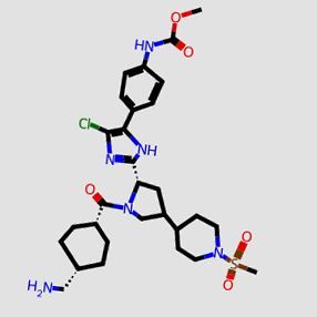 COC(=O)Nc1ccc(-c2[nH]c([C@@H]3CC(C4CCN(S(C)(=O)=O)CC4)CN3C(=O)[C@H]3CC[C@@H](CN)CC3)nc2Cl)cc1